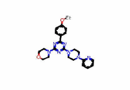 CCOc1ccc(-c2nc(N3CCOCC3)nc(N3CCN(c4ccccn4)CC3)n2)cc1